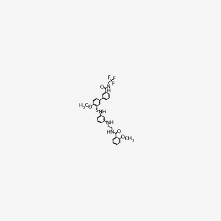 COc1ccc(-c2cccc(C(=O)NCC(F)(F)F)c2)cc1SNc1cccc(NCCNC(=O)c2ccccc2OC)c1